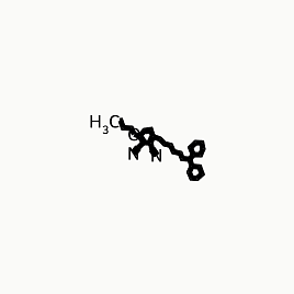 CCCCOc1ccc(CCCCCCC(C2CCCCC2)C2CCCCC2)c(C#N)c1C#N